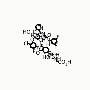 C#CC(C)Oc1cc(N2C(=O)C3=C(CCCC3)C2=O)c(F)cc1Cl.C/C(=N\NC(=O)Nc1cc(F)cc(F)c1)c1ncccc1C(=O)O.O=C(O)CNCP(=O)(O)O